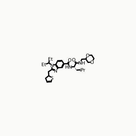 CCC(CC)n1c(CC2CC=CS2)nc2cc(C(=O)N[C@@H](CC(C)C)C(=O)NCC3COCCO3)ccc21